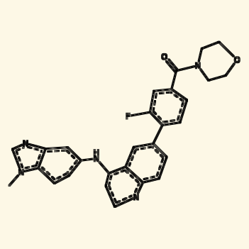 Cn1cnc2cc(Nc3ccnc4ccc(-c5ccc(C(=O)N6CCOCC6)cc5F)cc34)ccc21